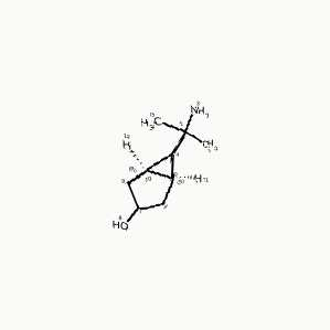 CC(C)(N)C1[C@H]2CC(O)C[C@@H]12